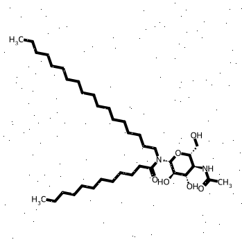 CCCCCCCCCCCCCCCCCCN(C(=O)CCCCCCCCCCC)[C@@H]1O[C@H](CO)[C@@H](NC(C)=O)[C@H](O)[C@H]1O